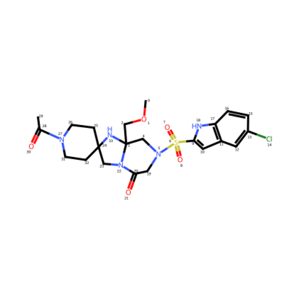 COCC12CN(S(=O)(=O)c3cc4cc(Cl)ccc4[nH]3)CC(=O)N1CC1(CCN(C(C)=O)CC1)N2